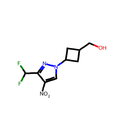 O=[N+]([O-])c1cn(C2CC(CO)C2)nc1C(F)F